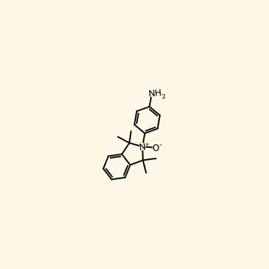 CC1(C)c2ccccc2C(C)(C)[N+]1([O-])c1ccc(N)cc1